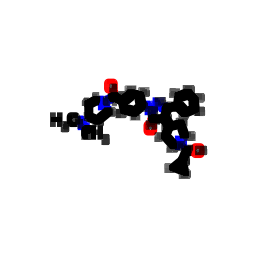 CN(C)C1CCN(C(=O)c2ccc(N3N=C(c4ccccc4)C(=C4CCN(C(=O)C5CC5)CC4)C3=O)cc2)CC1